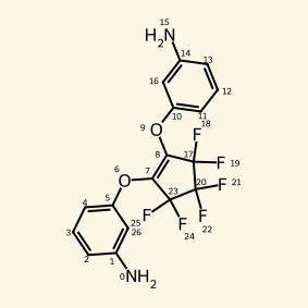 Nc1cccc(OC2=C(Oc3cccc(N)c3)C(F)(F)C(F)(F)C2(F)F)c1